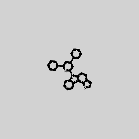 c1ccc(-c2cc(-c3ccccc3)nc(-n3c4ccccc4c4c5sccc5ccc43)c2)cc1